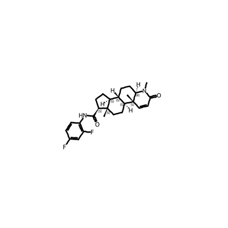 CN1C(=O)C=C[C@]2(C)[C@H]3CC[C@]4(C)[C@@H](C(=O)Nc5ccc(F)cc5F)CC[C@H]4[C@@H]3CC[C@@H]12